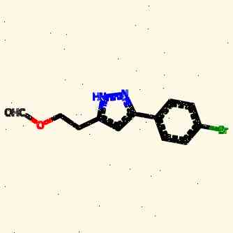 O=COCCc1cc(-c2ccc(Br)cc2)n[nH]1